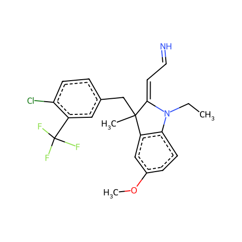 CCN1/C(=C\C=N)C(C)(Cc2ccc(Cl)c(C(F)(F)F)c2)c2cc(OC)ccc21